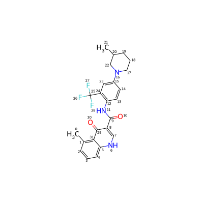 Cc1cccc2[nH]cc(C(=O)Nc3ccc(N4CCCC(C)C4)cc3C(F)(F)F)c(=O)c12